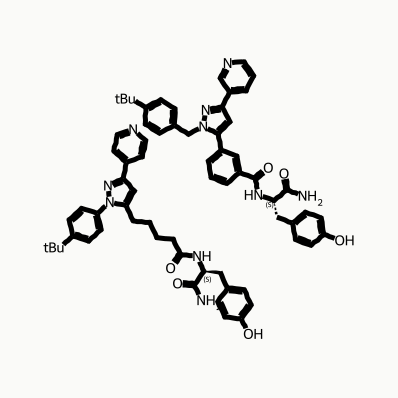 CC(C)(C)c1ccc(-n2nc(-c3ccncc3)cc2CCCCC(=O)N[C@@H](Cc2ccc(O)cc2)C(N)=O)cc1.CC(C)(C)c1ccc(Cn2nc(-c3cccnc3)cc2-c2cccc(C(=O)N[C@@H](Cc3ccc(O)cc3)C(N)=O)c2)cc1